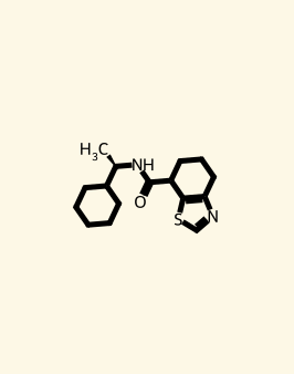 C[C@@H](NC(=O)C1CCCc2ncsc21)C1CCCCC1